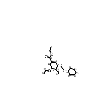 CCOC(=O)C1=C[C@H](CC[C@H]2C=CCCC2)C(I)[C@H](OCC)C1